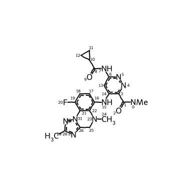 CNC(=O)c1nnc(NC(=O)C2CC2)cc1Nc1ccc(F)c2c1N(C)Cc1nc(C)nn1-2